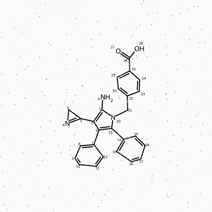 Nc1c(C2=NC2)c(-c2ccccc2)c(-c2ccccc2)n1Cc1ccc(C(=O)O)cc1